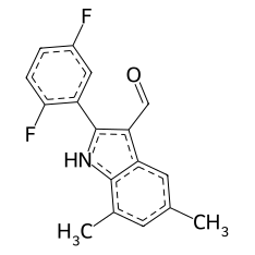 Cc1cc(C)c2[nH]c(-c3cc(F)ccc3F)c(C=O)c2c1